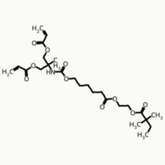 C=CC(=O)OCC(C)(COC(=O)C=C)NC(=O)OCCCCCC(=O)OCCOC(=O)C(C)(C)CC